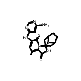 CC(=O)N1C2CCC1CC1(C2)NC(=O)c2c(C)cc(Nc3cc(N)ncn3)c(=O)n21